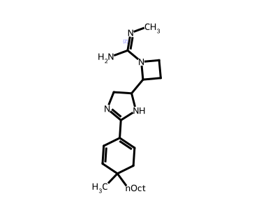 CCCCCCCCC1(C)C=CC(C2=NCC(C3CCN3/C(N)=N\C)N2)=CC1